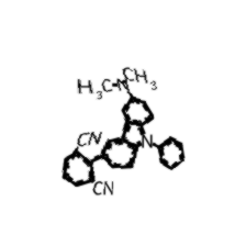 CN(C)c1ccc2c(c1)c1cc(-c3c(C#N)cccc3C#N)ccc1n2-c1ccccc1